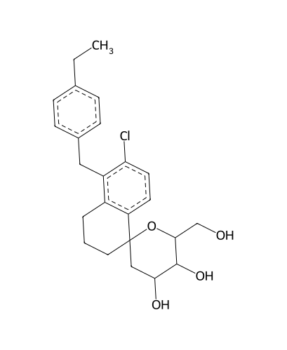 CCc1ccc(Cc2c(Cl)ccc3c2CCCC32CC(O)C(O)C(CO)O2)cc1